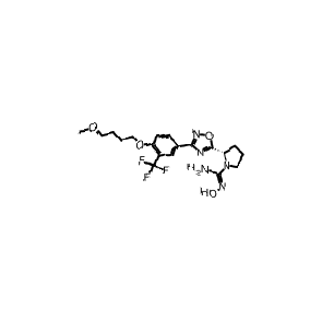 COCCCCOc1ccc(-c2noc([C@@H]3CCCN3/C(N)=N/O)n2)cc1C(F)(F)F